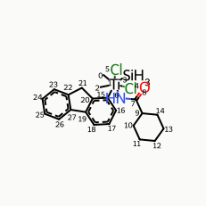 [CH3][Ti]([CH3])([SiH3])([Cl])([Cl])([NH]C(=O)C1CCCCC1)[c]1cccc2c1Cc1ccccc1-2